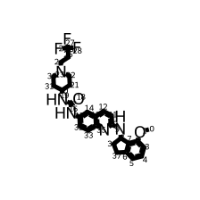 COc1cccc2c1C(Nc1ccc3cc(NC(=O)NC4CCN(CCC(F)(F)F)CC4)ccc3n1)CC2